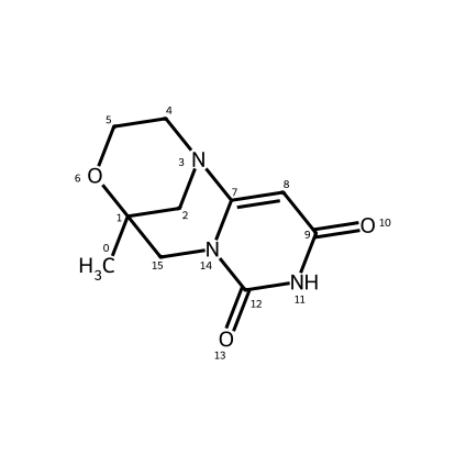 CC12CN(CCO1)c1cc(=O)[nH]c(=O)n1C2